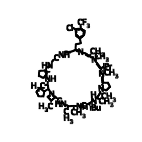 CC[C@H](C)[C@H]1CN[C@@H](C)C(C)NCC2[C@H](C)CN2[C@@H](C2CCCC2)C(C)NC2(CCCC2)CNCCNC=CC(CCc2ccc(C(F)(F)F)c(Cl)c2)=NC=C(C)N(C)C=C(C(C)C)N(C)C=C2CCCN2[C@@H](C)C(C)N1